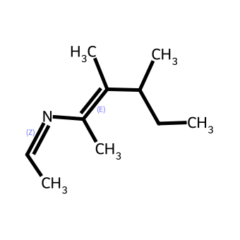 C/C=N\C(C)=C(/C)C(C)CC